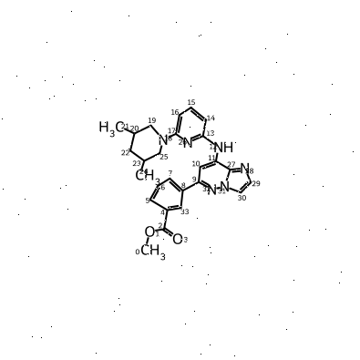 COC(=O)c1cccc(-c2cc(Nc3cccc(N4CC(C)CC(C)C4)n3)c3nccn3n2)c1